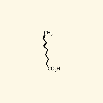 C=CC=CCCCCC(=O)O